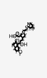 COc1ccc2ncc(Cl)c(C(O)CCC3CCN(CCSc4cc(F)ccn4)CC3CC(=O)O)c2c1